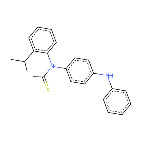 CC(=S)N(c1ccc(Nc2ccccc2)cc1)c1ccccc1C(C)C